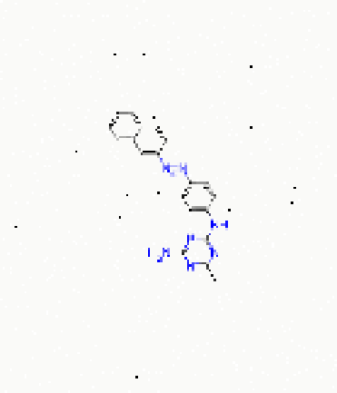 Cc1nc(N)nc(Nc2ccc(/N=N/c3ccc4ccccc4c3)cc2)n1